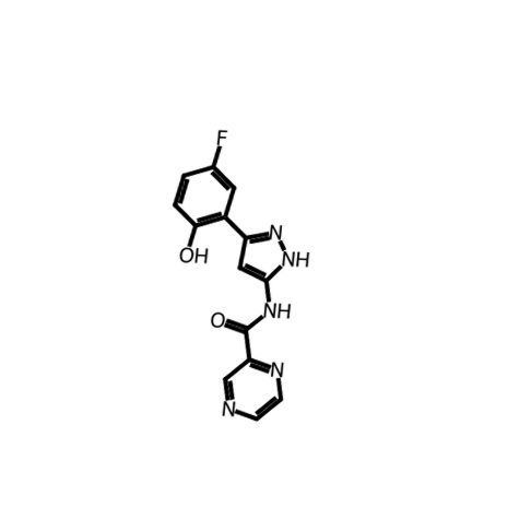 O=C(Nc1cc(-c2cc(F)ccc2O)n[nH]1)c1cnccn1